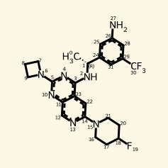 C[C@@H](Nc1nc(N2CCC2)nc2cnc(N3CCC(F)CC3)cc12)c1cc(N)cc(C(F)(F)F)c1